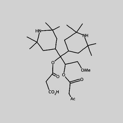 COCC(OC(=O)CC(C)=O)C(OC(=O)CC(=O)O)(C1CC(C)(C)NC(C)(C)C1)C1CC(C)(C)NC(C)(C)C1